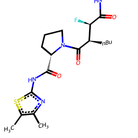 CCCC[C@@H](C(=O)N1CCC[C@H]1C(=O)Nc1nc(C)c(C)s1)[C@@H](F)C(=O)NO